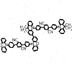 CC1(C)c2ccccc2N(c2ccc(-c3cc(C#N)c(-c4ccc(N5c6ccccc6C(C)(C)c6ccc(-c7ccc8c(c7)N(c7ccc(-c9cc(C#N)c(-c%10ccc(N%11c%12ccccc%12Oc%12ccccc%12%11)cc%10)cc9C#N)cc7)c7ccccc7O8)cc65)cc4)cc3C#N)cc2)c2ccccc21